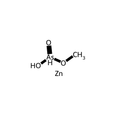 CO[AsH](=O)O.[Zn]